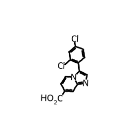 O=C(O)c1ccn2c(-c3ccc(Cl)cc3Cl)cnc2c1